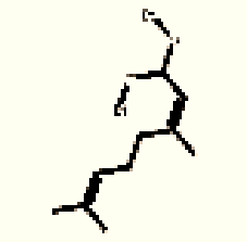 CCO[C](C=C(C)CCC=C(C)C)OCC